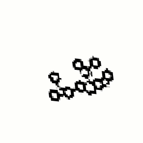 C1=Cc2cc3oc4ccccc4c3cc2N(c2nc(-c3ccccc3)c3ccccc3n2)c2ccc(-c3ccc4c5ccccc5n(-c5ccccc5)c4c3)cc21